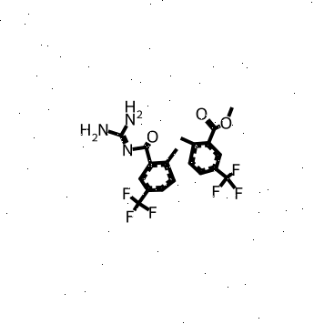 COC(=O)c1cc(C(F)(F)F)ccc1C.Cc1ccc(C(F)(F)F)cc1C(=O)N=C(N)N